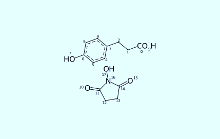 O=C(O)CCc1ccc(O)cc1.O=C1CCC(=O)N1O